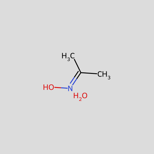 CC(C)=NO.O